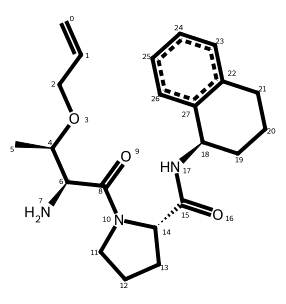 C=CCO[C@H](C)[C@H](N)C(=O)N1CCC[C@H]1C(=O)N[C@@H]1CCCc2ccccc21